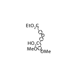 CCOC(=O)CCc1ccc(Oc2ccc(C(=Cc3cc(OC)cc(OC)c3)C(=O)O)cc2)cc1